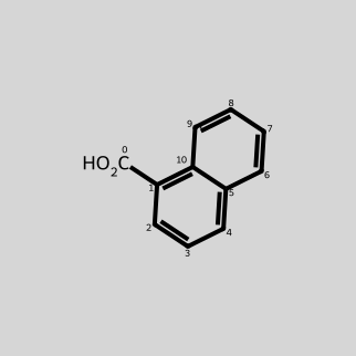 O=C(O)c1cccc2ccc[c]c12